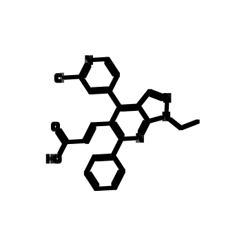 CCn1ncc2c(-c3ccnc(Cl)c3)c(C=CC(=O)O)c(-c3ccccc3)nc21